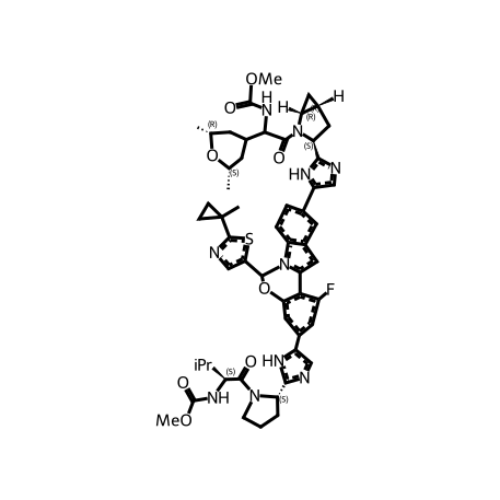 COC(=O)NC(C(=O)N1[C@@H]2C[C@@H]2C[C@H]1c1ncc(-c2ccc3c(c2)cc2n3C(c3cnc(C4(C)CC4)s3)Oc3cc(-c4cnc([C@@H]5CCCN5C(=O)[C@@H](NC(=O)OC)C(C)C)[nH]4)cc(F)c3-2)[nH]1)C1C[C@@H](C)O[C@@H](C)C1